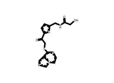 O=C(CO)NCc1ccc(C(=O)CSc2nccn3cncc23)s1